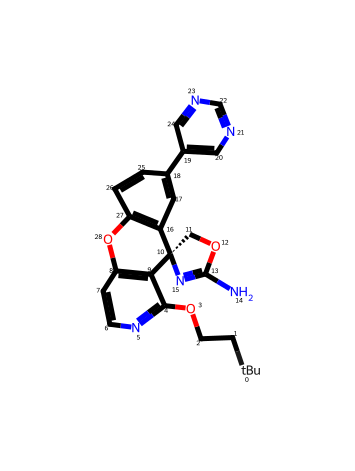 CC(C)(C)CCOc1nccc2c1[C@@]1(COC(N)=N1)c1cc(-c3cncnc3)ccc1O2